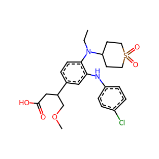 CCN(c1ccc(C(COC)CC(=O)O)cc1Nc1ccc(Cl)cc1)C1CCS(=O)(=O)CC1